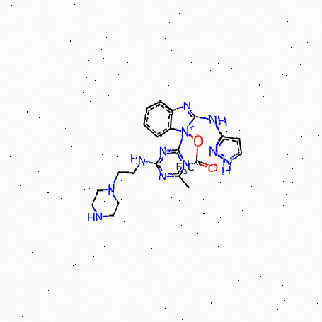 Cc1nc(NCCN2CCNCC2)nc([N+]2(OC(=O)C(F)(F)F)C(Nc3cc[nH]n3)=Nc3ccccc32)n1